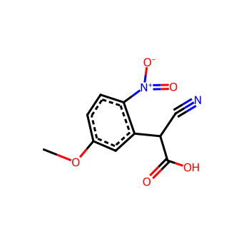 COc1ccc([N+](=O)[O-])c(C(C#N)C(=O)O)c1